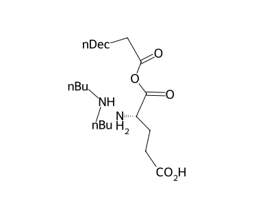 CCCCCCCCCCCC(=O)OC(=O)[C@@H](N)CCC(=O)O.CCCCNCCCC